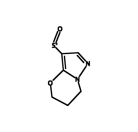 O=[S+]c1cnn2c1OCCC2